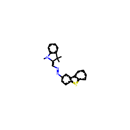 CN1C(=CN=Nc2ccc3sc4ccccc4c3c2)C(C)(C)c2ccccc21